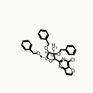 C[C@]1(OCc2ccccc2)C(c2nc(Cl)c3occc3n2)O[C@H](COCc2ccccc2)[C@H]1OCc1ccccc1